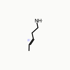 C/C=C/CC[NH]